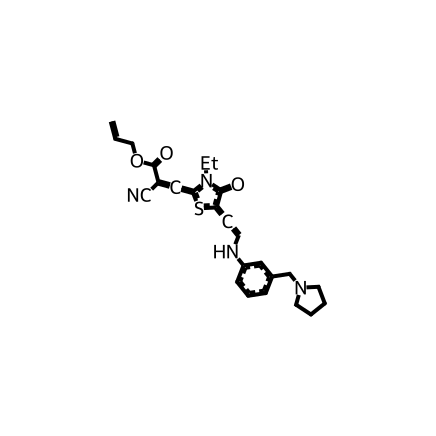 C=CCOC(=O)C(=C=c1sc(=C=CNc2cccc(CN3CCCC3)c2)c(=O)n1CC)C#N